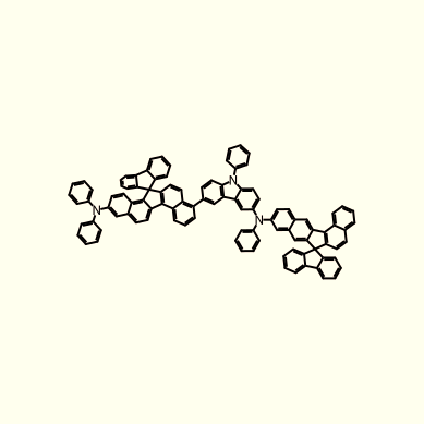 c1ccc(N(c2ccccc2)c2ccc3c4c(ccc3c2)-c2c(ccc3c(-c5ccc6c(c5)c5cc(N(c7ccccc7)c7ccc8cc9c(cc8c7)C7(c8ccccc8-c8ccccc87)c7ccc8ccccc8c7-9)ccc5n6-c5ccccc5)cccc23)C42c3ccccc3-c3ccccc32)cc1